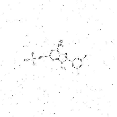 CCC(O)(C#Cc1nc(N)c2nc(-c3cc(F)cc(F)c3)n(C)c2n1)CC.Cl